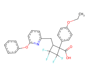 CCOc1ccc(C2(C(=O)O)C(Cc3cccc(Oc4ccccc4)n3)C(F)(F)C2(F)F)cc1